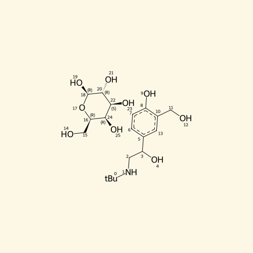 CC(C)(C)NCC(O)c1ccc(O)c(CO)c1.OC[C@H]1O[C@@H](O)[C@H](O)[C@@H](O)[C@H]1O